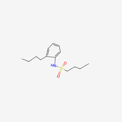 [CH2]CCCc1ccccc1NS(=O)(=O)CCCC